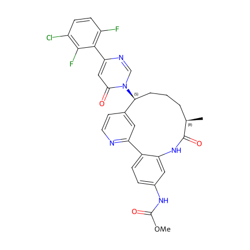 COC(=O)Nc1ccc2c(c1)NC(=O)[C@H](C)CCC[C@H](n1cnc(-c3c(F)ccc(Cl)c3F)cc1=O)c1ccnc-2c1